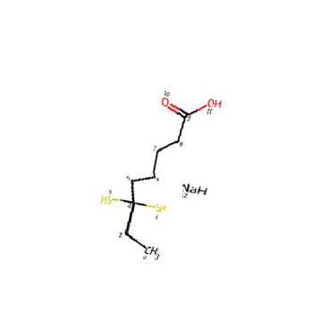 CCC(S)(S)CCCCC(=O)O.[NaH]